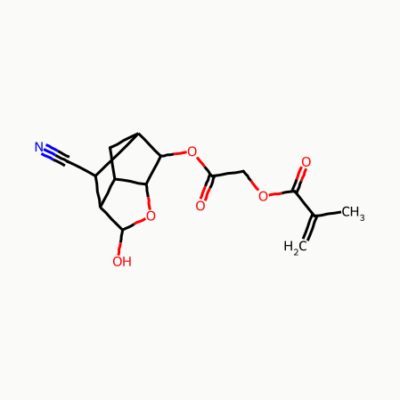 C=C(C)C(=O)OCC(=O)OC1C2CC3C1OC(O)C3C2C#N